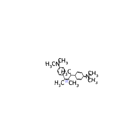 C/C(=C(\C)C(C)C1C=CC(=[N+](C)C)C=C1)c1ccc(N(C)C)cc1